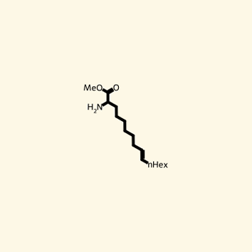 CCCCCCC=CCCCCCCC(N)C(=O)OC